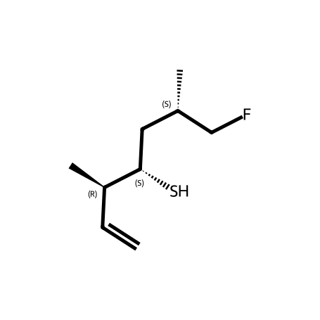 C=C[C@@H](C)[C@@H](S)C[C@H](C)CF